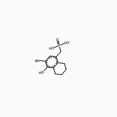 CC(C)(C)c1cc(CP(=O)(O)O)c2c(c1O)CCCC2